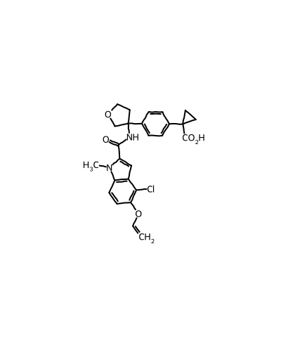 C=COc1ccc2c(cc(C(=O)NC3(c4ccc(C5(C(=O)O)CC5)cc4)CCOC3)n2C)c1Cl